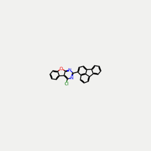 Clc1nc(-c2ccc3c4c(cccc24)-c2ccccc2-3)nc2oc3ccccc3c12